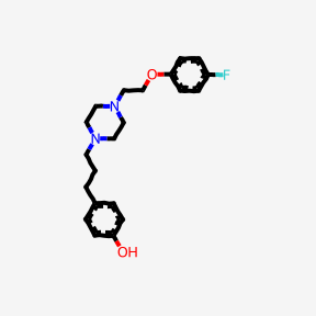 Oc1ccc(CCCN2CCN(CCOc3ccc(F)cc3)CC2)cc1